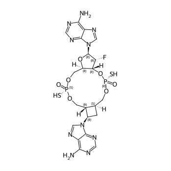 Nc1ncnc2c1ncn2[C@@H]1C[C@@H]2CO[P@@](=O)(S)O[C@H]3[C@@H](F)[C@H](n4cnc5c(N)ncnc54)O[C@@H]3CO[P@@](=O)(S)OC[C@H]21